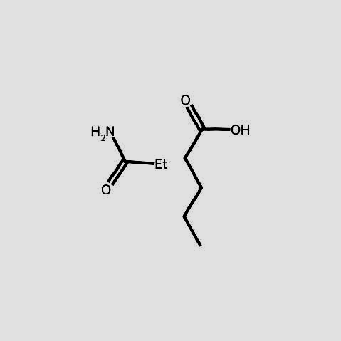 CCC(N)=O.CCCCC(=O)O